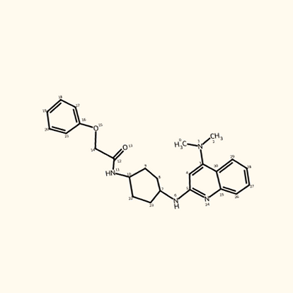 CN(C)c1cc(NC2CCC(NC(=O)COc3ccccc3)CC2)nc2ccccc12